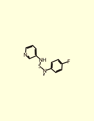 CN(SNc1cccnc1)c1ccc(F)cc1